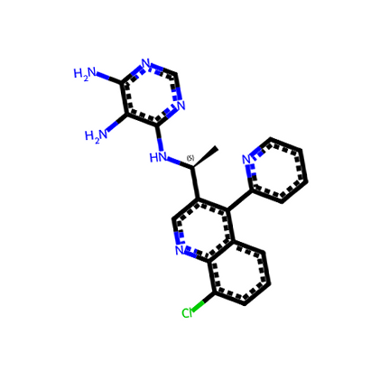 C[C@H](Nc1ncnc(N)c1N)c1cnc2c(Cl)cccc2c1-c1ccccn1